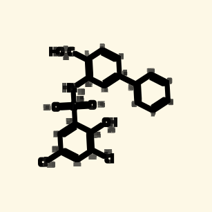 O=C(O)c1ccc(-c2ccccc2)cc1NS(=O)(=O)c1cc(Cl)cc(Cl)c1O